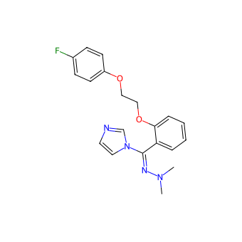 CN(C)/N=C(\c1ccccc1OCCOc1ccc(F)cc1)n1ccnc1